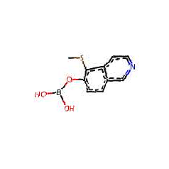 CSc1c(OB(O)O)ccc2cnccc12